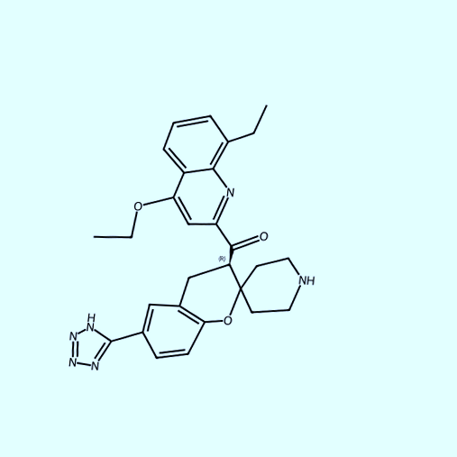 CCOc1cc(C(=O)[C@@H]2Cc3cc(-c4nnn[nH]4)ccc3OC23CCNCC3)nc2c(CC)cccc12